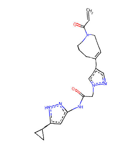 C=CC(=O)N1CC=C(c2cnn(CC(=O)Nc3cc(C4CC4)[nH]n3)c2)CC1